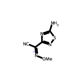 CO/N=C(/C#N)c1nsc(N)n1